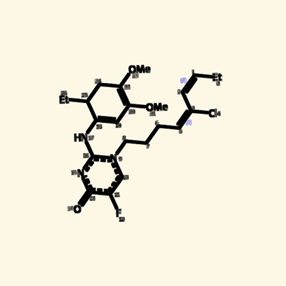 CC/C=C\C(Cl)=C/CCCn1cc(F)c(=O)nc1NC1=CC(OC)=C(OC)CC1CC